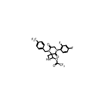 O=C1CN(c2ccc(F)cc2F)C(=O)C2(CNC2OC(=O)C(F)(F)F)N1Cc1ccc(C(F)(F)F)cc1